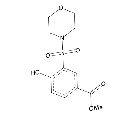 COC(=O)c1ccc(O)c(S(=O)(=O)N2CCOCC2)c1